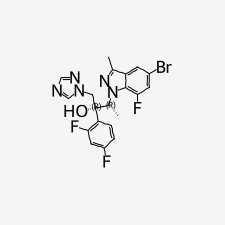 Cc1nn([C@H](C)[C@](O)(Cn2cncn2)c2ccc(F)cc2F)c2c(F)cc(Br)cc12